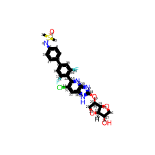 CS(C)(=O)=Nc1ccc(-c2cc(F)c(-c3nc4nc(O[C@@H]5CO[C@H]6C5OC[C@H]6O)[nH]c4cc3Cl)c(F)c2)cc1